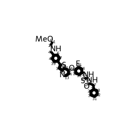 COCCNCc1ccc(-c2cc3nccc(Oc4ccc(NC(=S)NC(=O)Cc5ccccc5)cc4F)c3s2)cc1